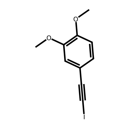 COc1ccc(C#CI)cc1OC